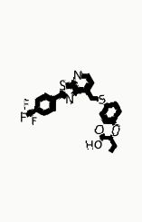 CCC(Oc1ccc(SCc2ccnc3sc(-c4ccc(C(F)(F)F)cc4)nc23)cc1)C(=O)O